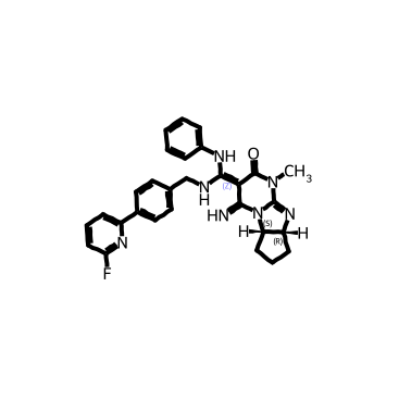 Cn1c(=O)/c(=C(/NCc2ccc(-c3cccc(F)n3)cc2)Nc2ccccc2)c(=N)n2c1=N[C@@H]1CCC[C@@H]12